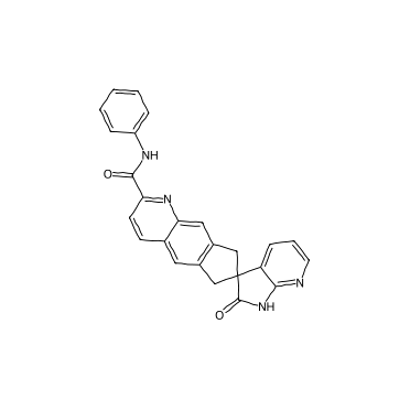 O=C(Nc1ccccc1)c1ccc2cc3c(cc2n1)CC1(C3)C(=O)Nc2ncccc21